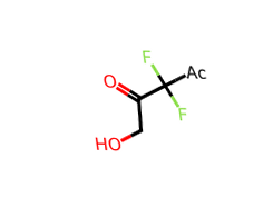 CC(=O)C(F)(F)C(=O)CO